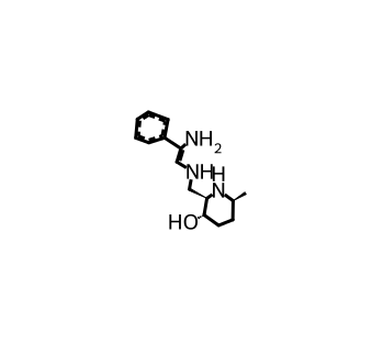 C[C@H]1CC[C@H](O)[C@@H](CN/C=C(\N)c2ccccc2)N1